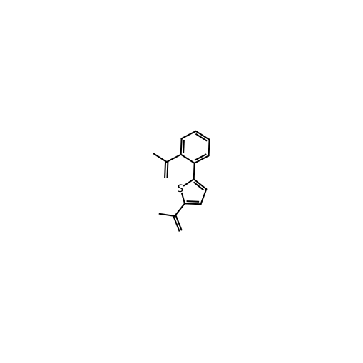 C=C(C)c1ccc(-c2ccccc2C(=C)C)s1